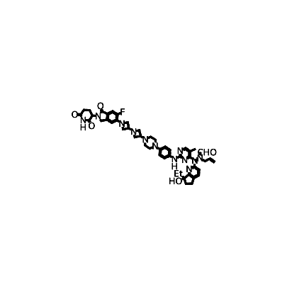 C=CCN(C=O)N(c1ccc2c(n1)C(O)(CC)CC2)c1nc(Nc2ccc(N3CCN(C4CN(C5CN(c6cc7c(cc6F)C(=O)N(C6CCC(=O)NC6=O)C7)C5)C4)CC3)cc2)ncc1C